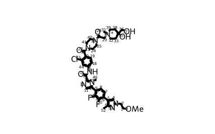 COCCn1cc(-c2ccc(-c3cnc(C(=O)Nc4ccc(C(=O)N5CCN(C(=O)C[N+]6(C)CCC(O)(CO)CC6)CC5)c(Cl)c4)n3C)c(F)c2F)c(C)n1